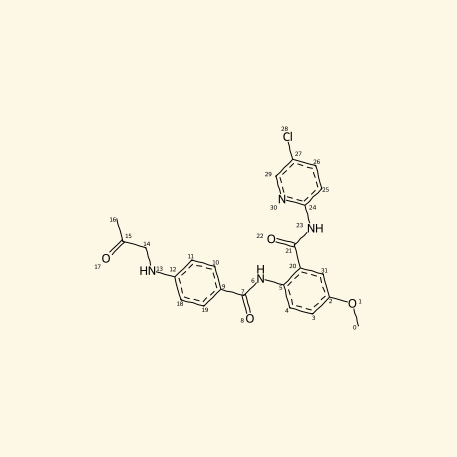 COc1ccc(NC(=O)c2ccc(NCC(C)=O)cc2)c(C(=O)Nc2ccc(Cl)cn2)c1